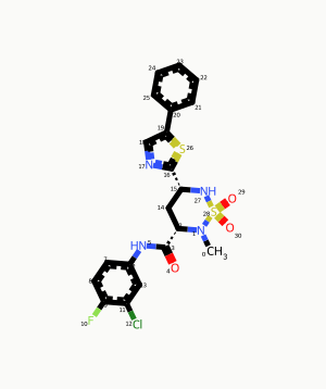 CN1[C@H](C(=O)Nc2ccc(F)c(Cl)c2)C[C@H](c2ncc(-c3ccccc3)s2)NS1(=O)=O